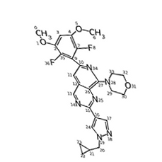 COc1cc(OC)c(F)c(-c2cc3cnc(-c4cnn(CC5CC5)c4)nc3c(N3CCOCC3)n2)c1F